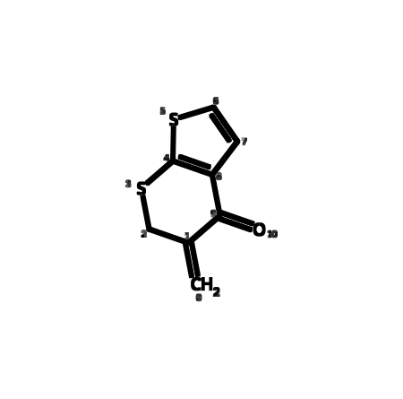 C=C1CSc2sccc2C1=O